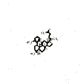 C=C(CC[C@@H](C)[C@H]1CC[C@@]2(C)[C@@H]3CC[C@H]4C(C)(C)CCC(c5c(N)cccc5C(=O)O)[C@@]45C[C@@]35CC[C@]12C)C(C)C